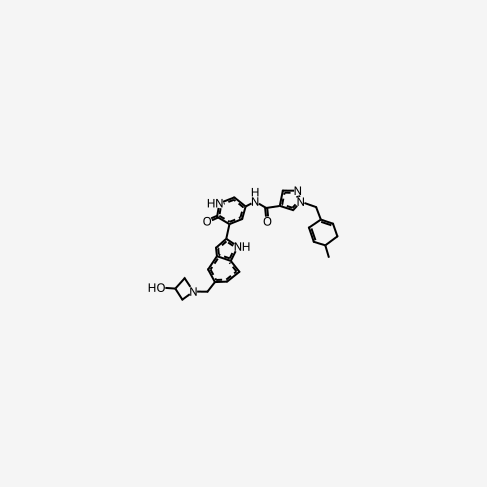 CC1C=CC(Cn2cc(C(=O)Nc3c[nH]c(=O)c(-c4cc5cc(CN6CC(O)C6)ccc5[nH]4)c3)cn2)=CC1